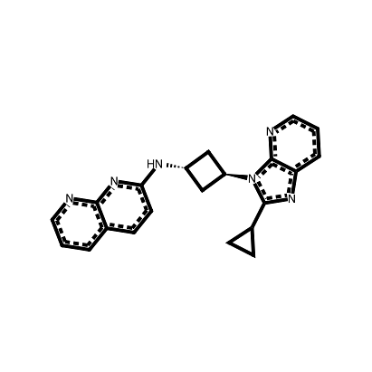 c1cnc2nc(N[C@H]3C[C@H](n4c(C5CC5)nc5cccnc54)C3)ccc2c1